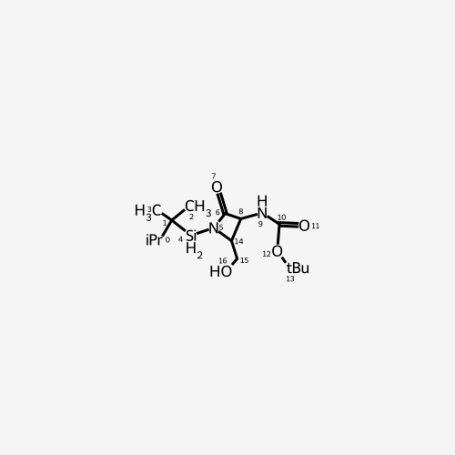 CC(C)C(C)(C)[SiH2]N1C(=O)C(NC(=O)OC(C)(C)C)C1CO